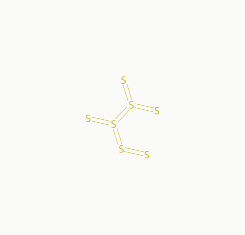 S=S=S(=S)=S(=S)=S